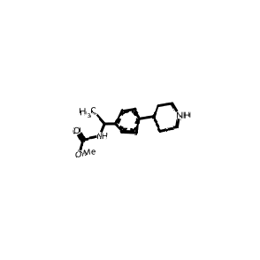 COC(=O)NC(C)c1ccc(C2CCNCC2)cc1